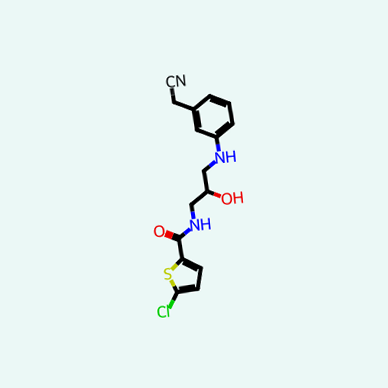 N#CCc1cccc(NCC(O)CNC(=O)c2ccc(Cl)s2)c1